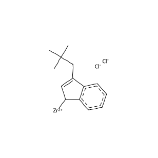 CC(C)(C)CC1=C[CH]([Zr+2])c2ccccc21.[Cl-].[Cl-]